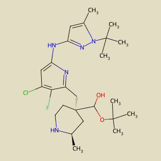 Cc1cc(Nc2cc(Cl)c(F)c(C[C@@]3(C(O)OC(C)(C)C)CCN[C@H](C)C3)n2)nn1C(C)(C)C